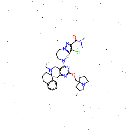 CCN1Cc2c(nc(OC[C@@]34CCCN3C[C@H](C)C4)nc2N2CCCn3nc(C(=O)N(C)C)c(Cl)c3C2)C[C@]12CCCc1ccccc12